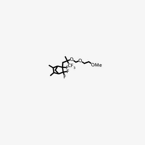 COCCOCOC(C)(CC1(F)C2CC(C(C)C2C)C1(F)F)C(F)(F)F